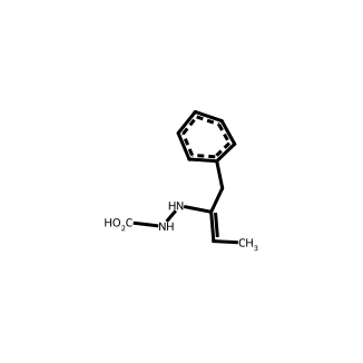 C/C=C(\Cc1ccccc1)NNC(=O)O